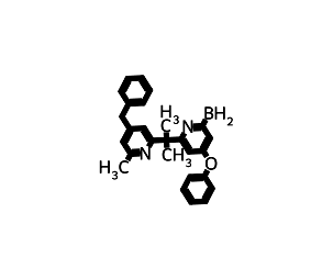 Bc1cc(Oc2ccccc2)cc(C(C)(C)c2cc(Cc3ccccc3)cc(C)n2)n1